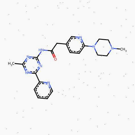 Cc1nc(NC(=O)Cc2ccc(N3CCN(C)CC3)nc2)nc(-c2ccccn2)n1